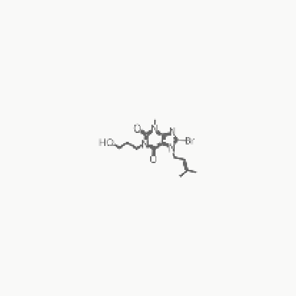 CC(C)=CCn1c(Br)nc2c1c(=O)n(CCCO)c(=O)n2C